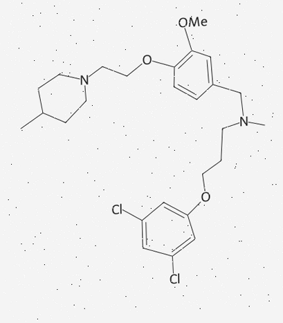 COc1cc(CN(C)CCCOc2cc(Cl)cc(Cl)c2)ccc1OCCN1CCC(C)CC1